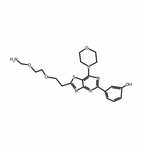 NCOCCOCCc1nc2nc(-c3cccc(O)c3)nc(N3CCOCC3)c2s1